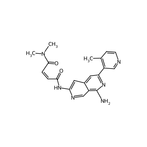 Cc1ccncc1-c1cc2cc(NC(=O)/C=C\C(=O)N(C)C)ncc2c(N)n1